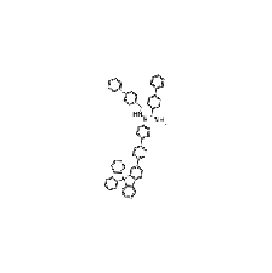 NC(c1ccc(-c2ccccc2)cc1)N(NCc1ccc(-c2ccccc2)cc1)c1ccc(-c2ccc(-c3ccc4c(c3)C(c3ccccc3)(c3ccccc3)c3ccccc3-4)cc2)cc1